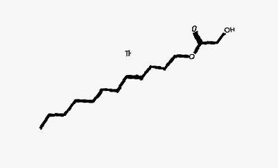 CCCCCCCCCCCCOC(=O)CO.[Tl]